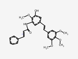 COc1cc(C=Cc2cc(O)c(OC)c(NC(=O)/C=C/c3ccccc3)c2)cc(OC)c1OC